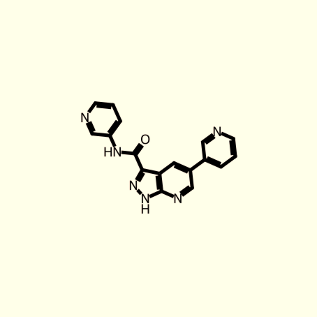 O=C(Nc1cccnc1)c1n[nH]c2ncc(-c3cccnc3)cc12